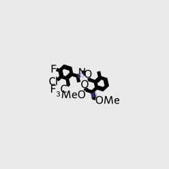 CO/C=C(/C(=O)OC)c1cccc(C)c1CO/N=C(\C)c1ccc(F)c(Cl)c1CC(F)(F)F